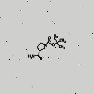 CC(C)(C)OC(=O)N1CC[C@@H](C(N)=S)C1